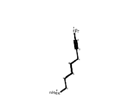 CCCC#CCCCCCCCCCCC